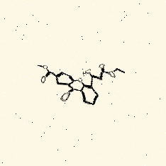 CCOC(=O)CC(O)c1cccc2c(=O)c3cc(C(=O)OC)ccc3oc12